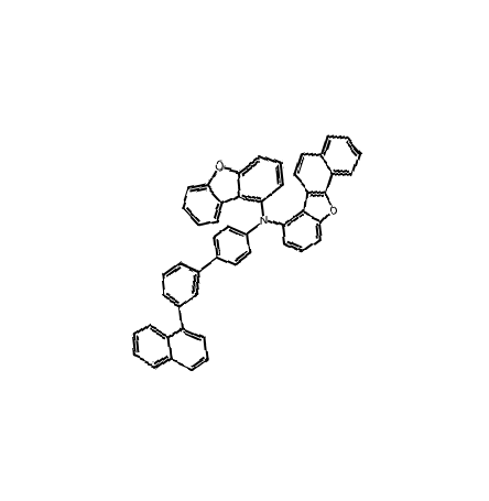 c1cc(-c2ccc(N(c3cccc4oc5ccccc5c34)c3cccc4oc5c6ccccc6ccc5c34)cc2)cc(-c2cccc3ccccc23)c1